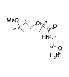 COC(C)(C)CCOC(C)(C)C(=O)NCCON